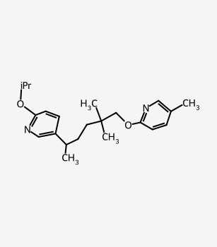 Cc1ccc(OCC(C)(C)CCC(C)c2ccc(OC(C)C)nc2)nc1